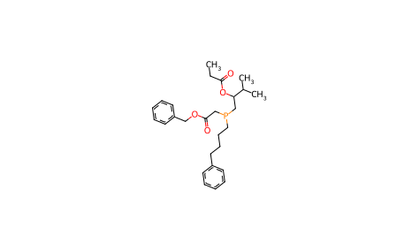 CCC(=O)OC(CP(CCCCc1ccccc1)CC(=O)OCc1ccccc1)C(C)C